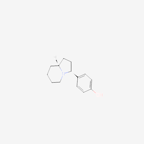 Oc1ccc([C@@H]2CC[C@H]3CCCCN32)cc1